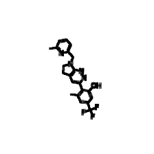 Cc1cccc(CN2CCc3cc(-c4c(C)cc(C(F)(F)F)cc4O)nnc32)n1